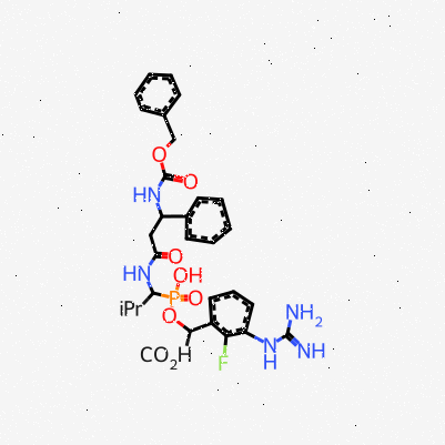 CC(C)C(NC(=O)CC(NC(=O)OCc1ccccc1)c1ccccc1)P(=O)(O)OC(C(=O)O)c1cccc(NC(=N)N)c1F